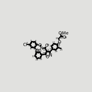 CCN(Oc1ccc(Cl)cc1Cl)C(=O)c1c(-c2ccc(OCC(=O)OC)c(C)c2)noc1-c1ccccc1